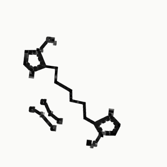 C[n+]1cc[nH]c1CCCCCCc1[nH]cc[n+]1C.Cl[I-]Cl.Cl[I-]Cl